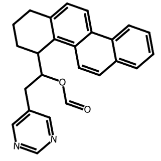 O=COC(Cc1cncnc1)C1CCCc2ccc3c(ccc4ccccc43)c21